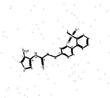 CS(=O)(=O)c1ccccc1-c1ccc(CCC(=O)Nc2cscc2C(=O)O)cc1